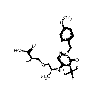 COc1ccc(Cn2ncc(N[C@@H](C)COC[C@@H](F)C(=O)O)c(C(F)(F)F)c2=O)cc1